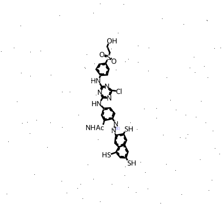 CC(=O)Nc1cc(Nc2nc(Cl)nc(Nc3ccc(S(=O)(=O)CCO)cc3)n2)ccc1/N=N/c1cc2c(S)cc(S)cc2cc1S